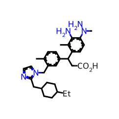 CCC1CCC(Cc2nccn2Cc2cc(C(CC(=O)O)c3ccc(N(C)N)c(N)c3C)ccc2C)CC1